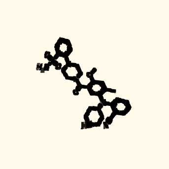 COc1cc(C)c(N(c2ccccc2C#N)C2CCNCC2)cc1C(=O)N1CCN(c2ccccc2S(N)(=O)=O)CC1